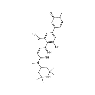 CN(C(=N)/C=C\C(=N)c1c(O)cc(-c2ccn(C)c(=O)c2)cc1OC(F)(F)F)C1CC(C)(C)NC(C)(C)C1